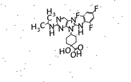 CC(C)Nc1ncc2nc(Nc3c(F)cc(F)cc3F)n(C3CCC(O)(C(=O)O)CC3)c2n1